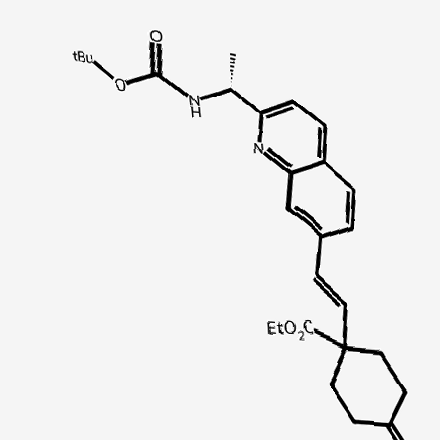 CCOC(=O)C1(/C=C/c2ccc3ccc([C@@H](C)NC(=O)OC(C)(C)C)nc3c2)CCC(=O)CC1